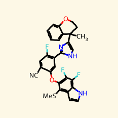 CSc1c(Oc2cc(-c3nc(C4(C)CCOc5ccccc54)c[nH]3)c(F)cc2C#N)c(F)c(F)c2[nH]ccc12